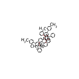 Cc1ccc(-c2ccc3c(c2)c2ccccc2n3-c2cccc(-c3nc(-c4ccccc4)nc(-c4ccccc4)n3)c2-c2c(-n3c4ccccc4c4cc(-c5ccc(C)cc5C)ccc43)cccc2C(F)(F)F)c(C)c1